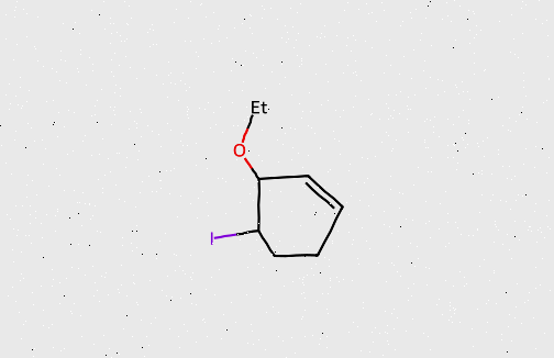 CCOC1C=CCCC1I